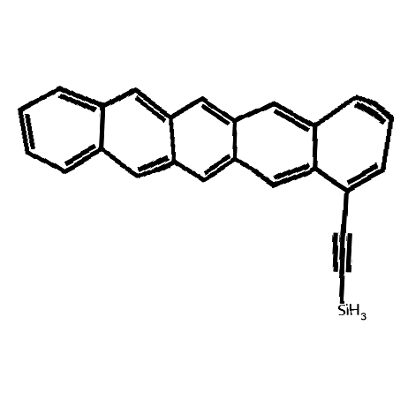 [SiH3]C#Cc1cccc2cc3cc4cc5ccccc5cc4cc3cc12